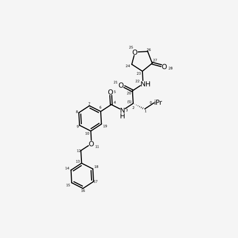 CC(C)C[C@H](NC(=O)c1cccc(OCc2ccccc2)c1)C(=O)NC1COCC1=O